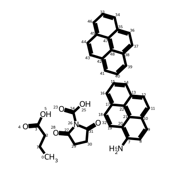 CCCC(=O)O.Nc1ccc2ccc3cccc4ccc1c2c34.O=C(O)N1C(=O)CCC1=O.c1cc2ccc3cccc4ccc(c1)c2c34